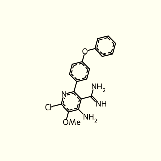 COc1c(Cl)nc(-c2ccc(Oc3ccccc3)cc2)c(C(=N)N)c1N